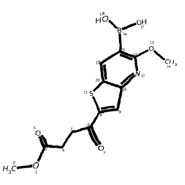 COC(=O)CCC(=O)c1cc2nc(OC)c(B(O)O)cc2s1